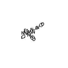 CCC1=NC2C=CC=CC2N1c1nc(N2CCOCC2)c2nc(C3CN(C4CCOCC4)C3)n(C)c2n1